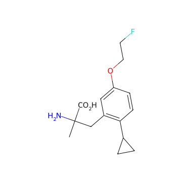 CC(N)(Cc1cc(OCCF)ccc1C1CC1)C(=O)O